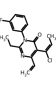 C=Cc1nc(CC)n(-c2cccc(F)c2)c(=O)c1/C(Cl)=C\C